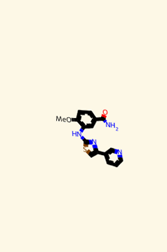 COc1ccc(C(N)=O)cc1Nc1nc(-c2cccnc2)cs1